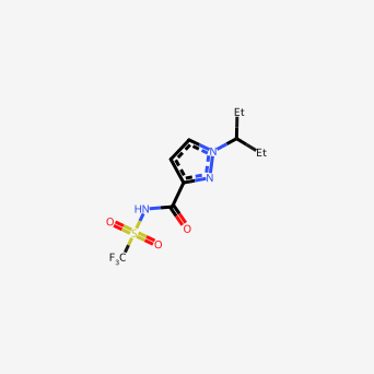 CCC(CC)n1ccc(C(=O)NS(=O)(=O)C(F)(F)F)n1